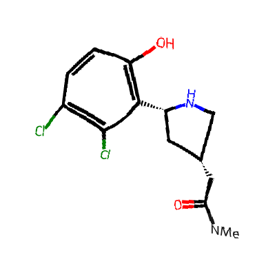 CNC(=O)C[C@H]1CN[C@@H](c2c(O)ccc(Cl)c2Cl)C1